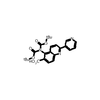 CC(C)(C)OC(=O)N(C(=O)OC(C)(C)C)c1c(C(=O)O)ccc2nc(-c3cccnc3)ccc12